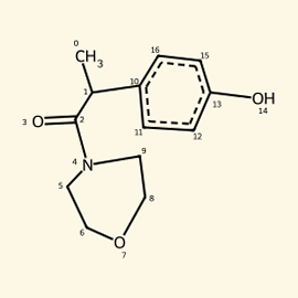 CC(C(=O)N1CCOCC1)c1ccc(O)cc1